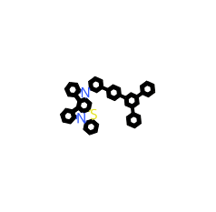 c1ccc(-c2cc(-c3ccccc3)cc(-c3ccc(-c4cccc(-n5c6ccccc6c6c7c8ccccc8n8c7c(cc65)Sc5ccccc5-8)c4)cc3)c2)cc1